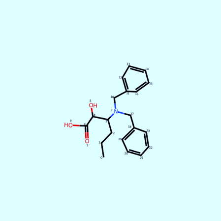 CCCC(C(O)C(=O)O)N(Cc1ccccc1)Cc1ccccc1